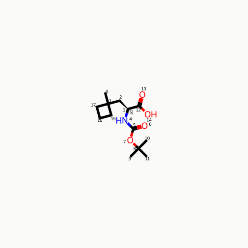 CC1(C[C@H](NC(=O)OC(C)(C)C)C(=O)O)CCC1